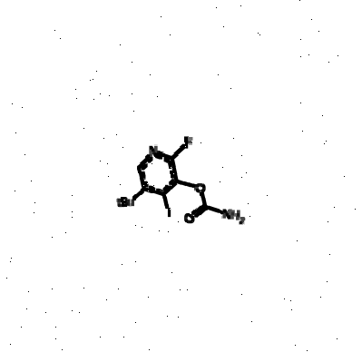 CC(C)(C)c1cnc(F)c(OC(N)=O)c1I